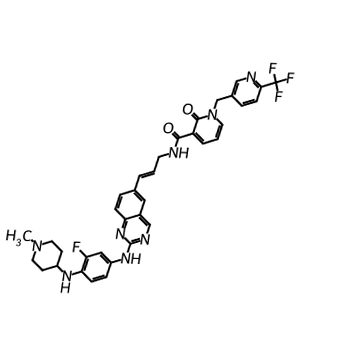 CN1CCC(Nc2ccc(Nc3ncc4cc(C=CCNC(=O)c5cccn(Cc6ccc(C(F)(F)F)nc6)c5=O)ccc4n3)cc2F)CC1